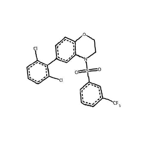 O=S(=O)(c1cccc(C(F)(F)F)c1)N1CCOc2ccc(-c3c(Cl)cccc3Cl)cc21